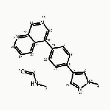 CNC=O.Cn1cc(-c2ccc(-c3cncc4ncccc34)cc2)cn1